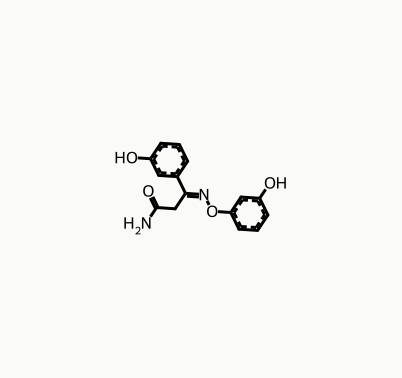 NC(=O)C/C(=N\Oc1cccc(O)c1)c1cccc(O)c1